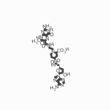 CC1(C)Nc2nc(N)[nH]c(=O)c2N=C1C(=O)NCCN1CCC(S(=O)(=O)NC[C@@H]2CC(O)[C@H](n3cnc4c(N)ncnc43)O2)CC1C(=O)O